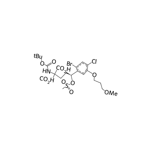 COCCCOc1cc([C@H](CCC(NC(=O)OC(C)(C)C)(C(=O)O)C(=O)O)OS(C)(=O)=O)c(Br)cc1Cl